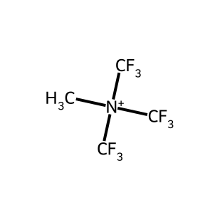 C[N+](C(F)(F)F)(C(F)(F)F)C(F)(F)F